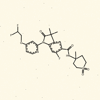 CC1(NC(=O)c2cc3c(cc2F)N(c2cc(OCC(F)F)ccn2)C(=O)C3(C)C)CCS(=O)(=O)CC1